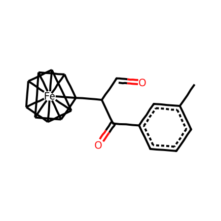 Cc1cccc(C(=O)C(C=O)[C]23[CH]4[CH]5[CH]6[CH]2[Fe]56432789[CH]3[CH]2[CH]7[CH]8[CH]39)c1